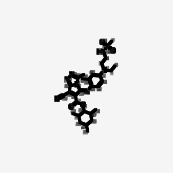 CCN(CCNS(C)(=O)=O)c1ccc(N=C2C(C(=O)OC3C(C)CC(C)CC3C)=C(C#N)c3nnc(C)n32)c(C)c1